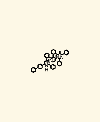 C=C1C(C2=CCCC=C2C2=C(c3ccccc3C3=CC(C4=CC=C(c5ccccc5)CC4)NC(c4ccccc4)=N3)NCC=C2)NC(C2=CCCC=C2)=NC1c1ccccc1